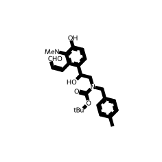 CNc1c(O)ccc(C(O)CN(Cc2ccc(C)cc2)C(=O)OC(C)(C)C)c1/C=C\C=O